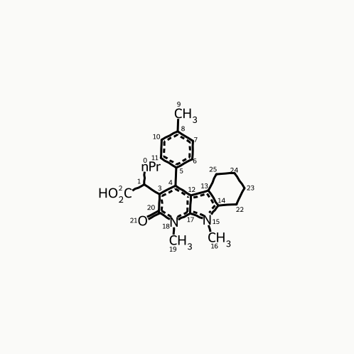 CCCC(C(=O)O)c1c(-c2ccc(C)cc2)c2c3c(n(C)c2n(C)c1=O)CCCC3